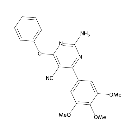 COc1cc(-c2nc(N)nc(Oc3ccccc3)c2C#N)cc(OC)c1OC